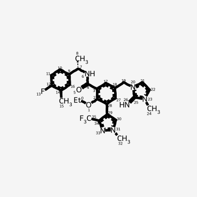 CCOc1c(C(=O)N[C@@H](C)c2ccc(F)c(C)c2)cc(Cn2ccn(C)c2=N)cc1-c1cn(C)nc1C(F)(F)F